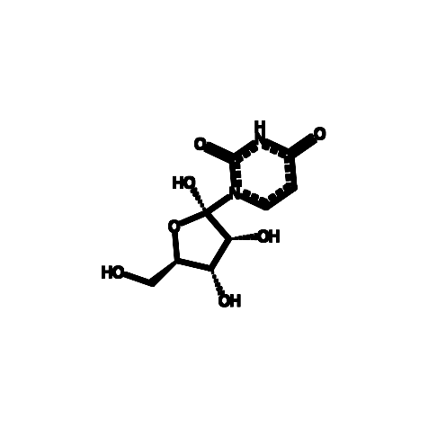 O=c1ccn([C@]2(O)O[C@H](CO)[C@@H](O)[C@H]2O)c(=O)[nH]1